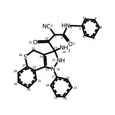 N#CC(C(=O)Nc1ccccc1)C(=O)C1(N)NN(c2ccccc2)C2=C1CSc1ccccc12